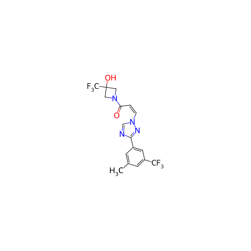 Cc1cc(-c2ncn(/C=C\C(=O)N3CC(O)(C(F)(F)F)C3)n2)cc(C(F)(F)F)c1